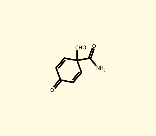 NC(=O)C1(C=O)C=[C]C(=O)C=C1